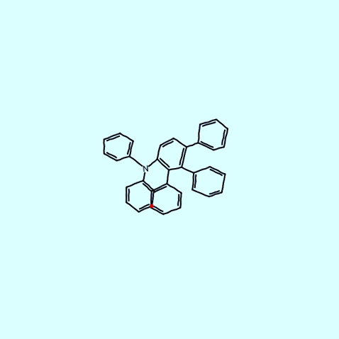 c1ccc(-c2ccc(N(c3ccccc3)c3ccccc3)c(-c3ccccc3)c2-c2ccccc2)cc1